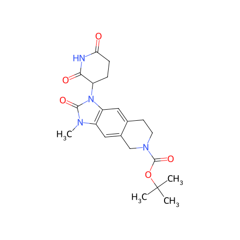 Cn1c(=O)n(C2CCC(=O)NC2=O)c2cc3c(cc21)CN(C(=O)OC(C)(C)C)CC3